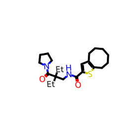 CCC(CC)(CNC(=O)c1cc2c(s1)CCCCCC2)C(=O)N1CCCC1